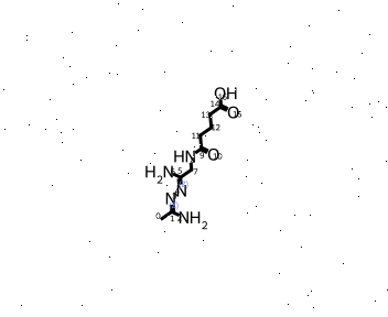 C/C(N)=N/N=C(\N)CNC(=O)CCCC(=O)O